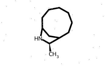 C[C@H]1NC2CCCCCCC1C2